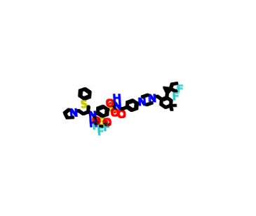 CCC1(C(F)F)CC1C1=C(CN2CCN(c3ccc(C(=O)NS(=O)(=O)c4ccc(NC(CCN5CCCC5)CSc5ccccc5)c(S(=O)(=O)C(F)(F)F)c4)cc3)CC2)CCC(C)(C)C1